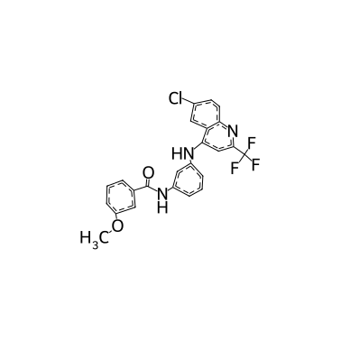 COc1cccc(C(=O)Nc2cccc(Nc3cc(C(F)(F)F)nc4ccc(Cl)cc34)c2)c1